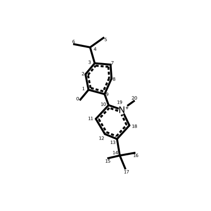 Cc1cc(C(C)C)ccc1-c1ccc(C(C)(C)C)c[n+]1C